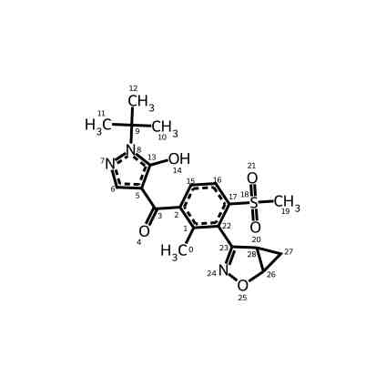 Cc1c(C(=O)c2cnn(C(C)(C)C)c2O)ccc(S(C)(=O)=O)c1C1=NOC2CC12